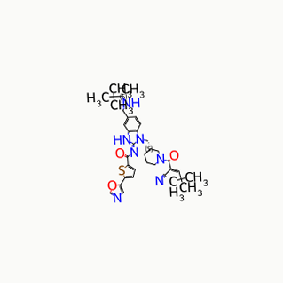 C[C@H](NCc1ccc2c(c1)[nH]c(=NC(=O)c1ccc(-c3cnco3)s1)n2C[C@H]1CCCN(C(=O)C(C#N)=CC(C)(C)C)C1)C(C)(C)C